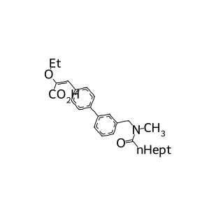 CCCCCCCC(=O)N(C)Cc1cccc(-c2ccc(/C=C(/OCC)C(=O)O)cc2)c1